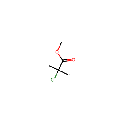 [CH2]C(C)(Cl)C(=O)OC